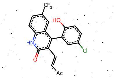 CC(=O)C=Cc1c(-c2cc(Cl)ccc2O)c2cc(C(F)(F)F)ccc2[nH]c1=O